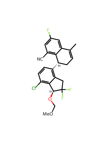 COCO[C@H]1c2c(Cl)ccc([C@H]3CC=C(C)c4cc(F)cc(C#N)c43)c2CC1(F)F